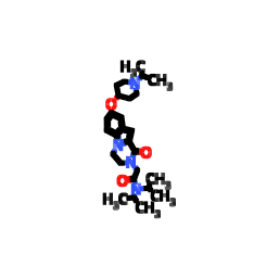 CC(C)N1CCC(Oc2ccc3c(c2)cc2n3CCN(CC(=O)N(C(C)C)C(C)C)C2=O)CC1